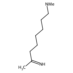 CNCCCCCCC(C)=N